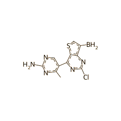 Bc1csc2c(-c3cnc(N)nc3C)nc(Cl)nc12